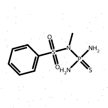 CN(P(N)(N)=S)S(=O)(=O)c1ccccc1